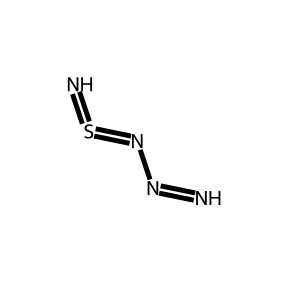 N=NN=S=N